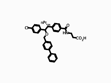 CCC[C@H](c1ccc(C(=O)NCCC(=O)O)cc1)C(OCc1ccc(-c2ccccc2)cc1)c1ccc(Cl)cc1